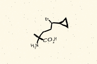 CCC(CCC(C)(N)C(=O)O)C1CC1